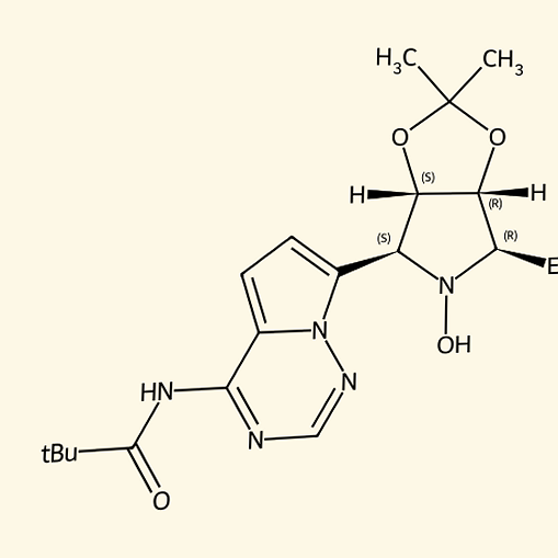 CC[C@@H]1[C@H]2OC(C)(C)O[C@H]2[C@H](c2ccc3c(NC(=O)C(C)(C)C)ncnn23)N1O